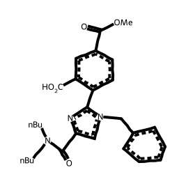 CCCCN(CCCC)C(=O)c1cn(Cc2ccccc2)c(-c2ccc(C(=O)OC)cc2C(=O)O)n1